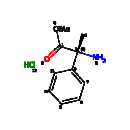 COC(=O)[C@](C)(N)c1ccccc1.Cl